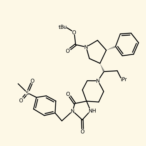 CC(C)CC([C@@H]1CN(C(=O)OC(C)(C)C)C[C@@H]1c1ccccc1)N1CCC2(CC1)NC(=O)N(Cc1ccc(S(C)(=O)=O)cc1)C2=O